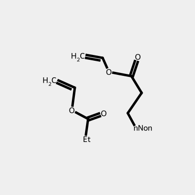 C=COC(=O)CC.C=COC(=O)CCCCCCCCCCC